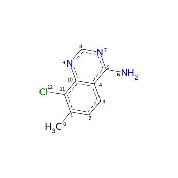 Cc1ccc2c(N)ncnc2c1Cl